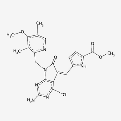 COC(=O)c1ccc(/C=C2\C(=O)N(Cc3ncc(C)c(OC)c3C)c3nc(N)nc(Cl)c32)[nH]1